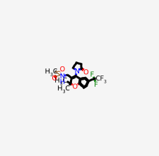 CC1(C)Oc2ccc(C(F)(F)C(F)(F)F)cc2C(N2CCCC2=O)=C1CNS(C)(=O)=O